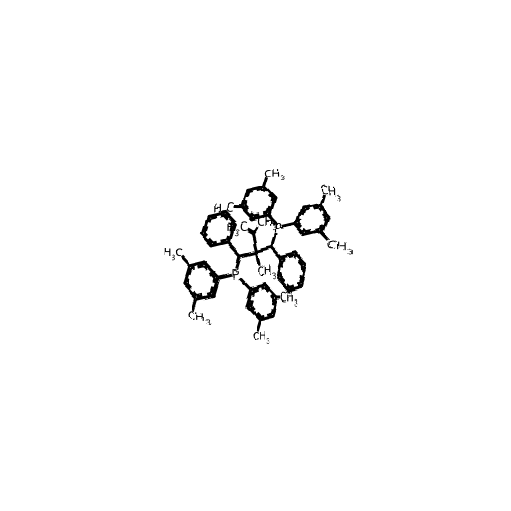 Cc1cc(C)cc(P(c2cc(C)cc(C)c2)C(c2ccccc2)C(C)(C(C)C)C(c2ccccc2)P(c2cc(C)cc(C)c2)c2cc(C)cc(C)c2)c1